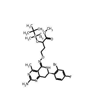 COC(=O)C(CCO/N=C1\N[C@@H](c2ccc(F)cc2Br)Cc2nc(N)nc(C)c21)O[Si](C)(C)C(C)(C)C